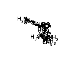 CC[C@H](C)[C@H](NC(=O)[C@H](CC(C)C)NC(=O)C1(NC(=O)CCCSSCCCC(N)=O)CCOCC1)C(N)=O